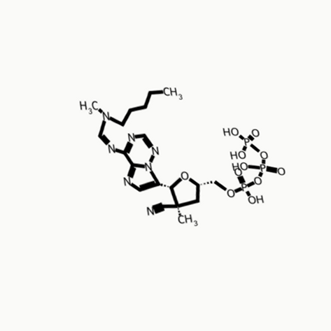 CCCCCN(C)/C=N\c1ncnn2c([C@@H]3O[C@H](COP(=O)(O)OP(=O)(O)OP(=O)(O)O)C[C@@]3(C)C#N)cnc12